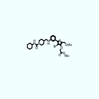 COCc1sc(-c2cccc(NCC3CCN(C(=O)NC4CCCCC4)CC3)c2)c(Br)c1OCC(=O)OC(C)(C)C